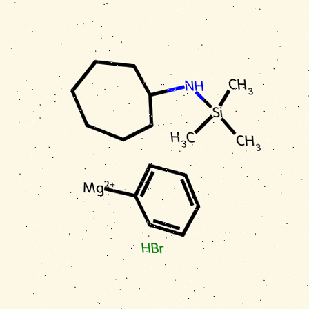 Br.C[Si](C)(C)NC1CCCCCC1.[Mg+2][c]1ccccc1